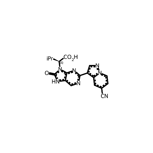 CC(C)[C@@H](C(=O)O)n1c(=O)[nH]c2cnc(-c3cnn4ccc(C#N)cc34)nc21